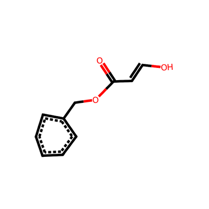 O=C(C=CO)OCc1ccccc1